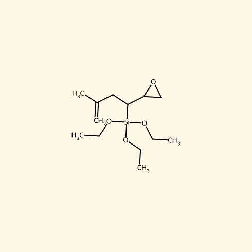 C=C(C)CC(C1CO1)[Si](OCC)(OCC)OCC